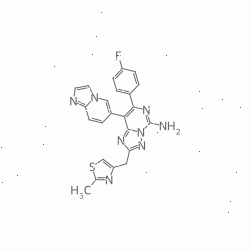 Cc1nc(Cc2nc3c(-c4ccc5nccn5c4)c(-c4ccc(F)cc4)nc(N)n3n2)cs1